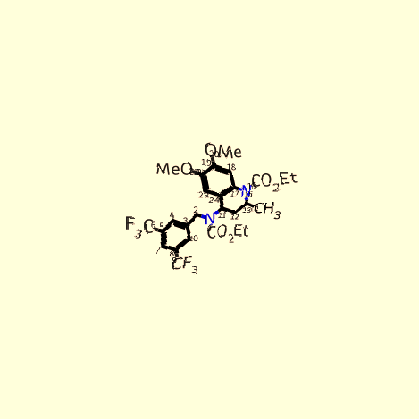 CCOC(=O)N(Cc1cc(C(F)(F)F)cc(C(F)(F)F)c1)C1CC(C)N(C(=O)OCC)c2cc(OC)c(OC)cc21